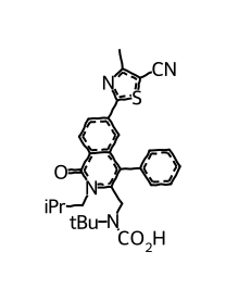 Cc1nc(-c2ccc3c(=O)n(CC(C)C)c(CN(C(=O)O)C(C)(C)C)c(-c4ccccc4)c3c2)sc1C#N